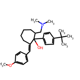 COc1ccc(C=C2CCCCC(CN(C)C)C2(O)c2ccc(C(C)(C)C)cc2)cc1